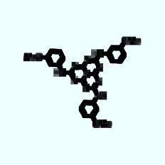 COc1cccc(NC2=NC3=NC(Nc4cccc(OC)c4)=NC4=NC(Nc5cccc(OC)c5)=NC(=N2)N34)c1